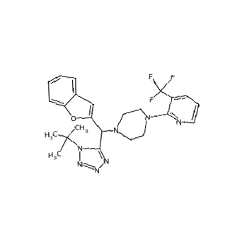 CC(C)(C)n1nnnc1C(c1cc2ccccc2o1)N1CCN(c2ncccc2C(F)(F)F)CC1